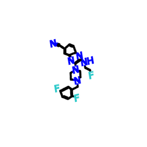 N#Cc1ccc2nc(NCCF)c(N3CCN(Cc4cc(F)ccc4F)CC3)nc2c1